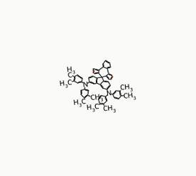 Cc1ccc(N(c2ccc(C)c(C)c2)c2ccc3c(c2)-c2cc(N(c4ccc(C)c(C)c4)c4ccc(C)c(C)c4)ccc2C32c3ccccc3-c3ccccc3-c3ccccc32)cc1C